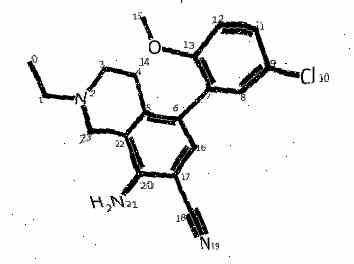 CCN1CCc2c(-c3cc(Cl)ccc3OC)cc(C#N)c(N)c2C1